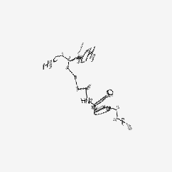 CCC(CC)CCCCNC(=O)OCCF